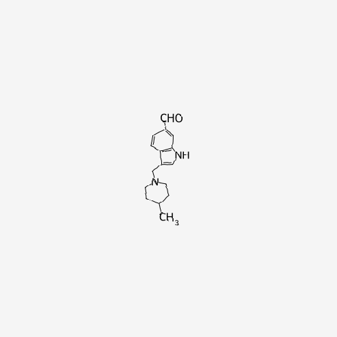 CC1CCN(Cc2c[nH]c3cc(C=O)ccc23)CC1